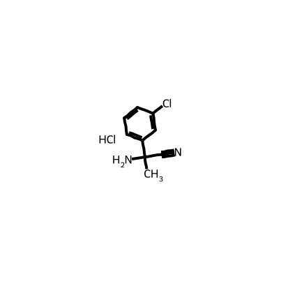 CC(N)(C#N)c1cccc(Cl)c1.Cl